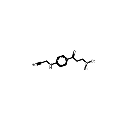 C#CCNc1ccc(C(=O)CCN(CC)CC)cc1